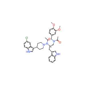 COc1ccc(CN(C[C@@H](Cc2c[nH]c3ccccc23)N(C(C)=O)N2CCC(c3c[nH]c4ccc(Cl)cc34)CC2)C(C)=O)cc1OC